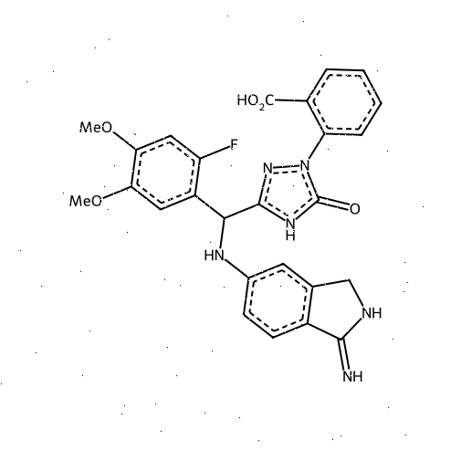 COc1cc(F)c(C(Nc2ccc3c(c2)CNC3=N)c2nn(-c3ccccc3C(=O)O)c(=O)[nH]2)cc1OC